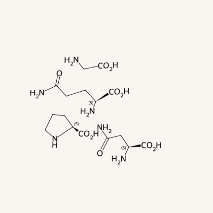 NC(=O)CC[C@H](N)C(=O)O.NC(=O)C[C@H](N)C(=O)O.NCC(=O)O.O=C(O)[C@@H]1CCCN1